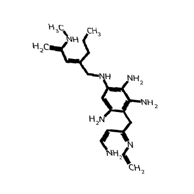 C=C/N=C(\C=C/N)Cc1c(N)cc(NC/C(=C/C(=C)NC)CCC)c(N)c1N